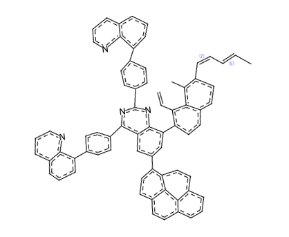 C=Cc1c(-c2cc(-c3ccc4ccc5cccc6ccc3c4c56)cc3c(-c4ccc(-c5cccc6cccnc56)cc4)nc(-c4ccc(-c5cccc6cccnc56)cc4)nc23)ccc2ccc(/C=C\C=C\C)c(C)c12